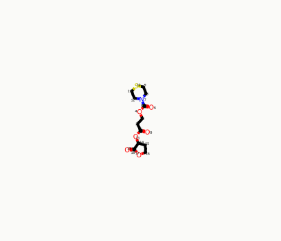 O=C(CCOC(=O)N1CCSCC1)OC1CCOC1=O